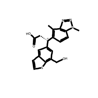 Cc1c([C@@H](CC(=O)O)c2cc(CO)c3sccc3c2)ccc2c1nnn2C